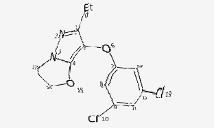 CCc1nn2c(c1Oc1cc(Cl)cc(Cl)c1)OCC2